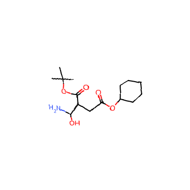 CC(C)(C)OC(=O)C(CC(=O)OC1CCCCC1)C(N)O